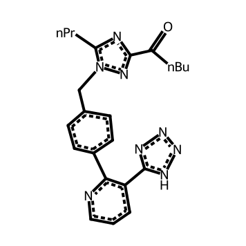 CCCCC(=O)c1nc(CCC)n(Cc2ccc(-c3ncccc3-c3nnn[nH]3)cc2)n1